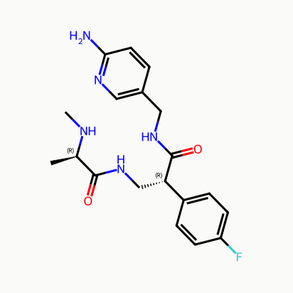 CN[C@H](C)C(=O)NC[C@H](C(=O)NCc1ccc(N)nc1)c1ccc(F)cc1